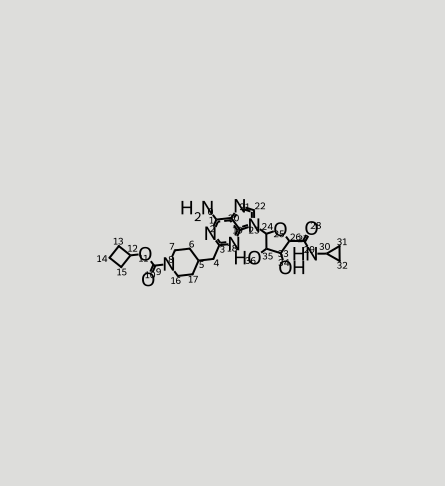 Nc1nc(CC2CCN(C(=O)OC3CCC3)CC2)nc2c1ncn2C1OC(C(=O)NC2CC2)C(O)C1O